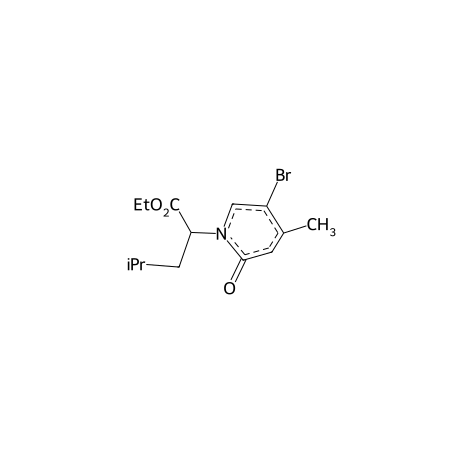 CCOC(=O)C(CC(C)C)n1cc(Br)c(C)cc1=O